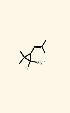 CCOC(=O)C1(CC)C(C=C(C)C)C1(C)C